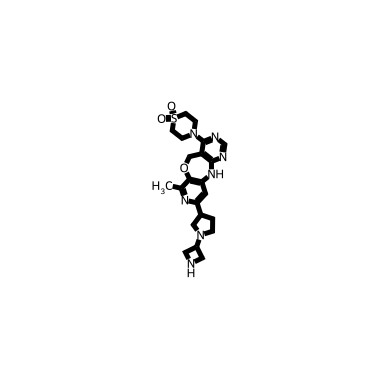 Cc1nc(C2CCN(C3CNC3)C2)cc2c1OCc1c(ncnc1N1CCS(=O)(=O)CC1)N2